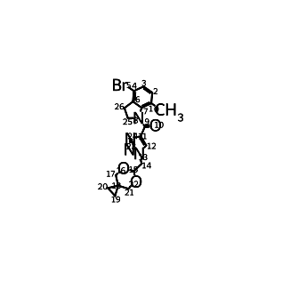 Cc1ccc(Br)c2c1N(C(=O)c1cn(CC3OCC4(CC4)CO3)nn1)CC2